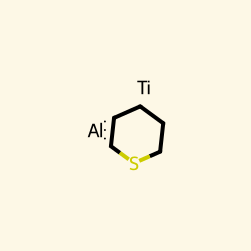 C1CCSCC1.[Al].[Ti]